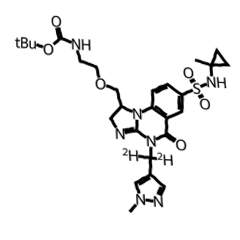 [2H]C([2H])(c1cnn(C)c1)N1C(=O)c2cc(S(=O)(=O)NC3(C)CC3)ccc2N2C1=NCC2COCCNC(=O)OC(C)(C)C